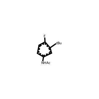 CC(=O)Nc1ccc(F)c(C(C)(C)C)c1